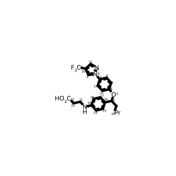 CC(C)CC(Oc1ccc(-n2cc(C(F)(F)F)cn2)cc1)c1ccc(NCCC(=O)O)cc1